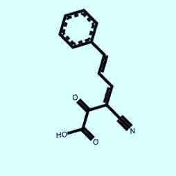 N#CC(=CC=Cc1ccccc1)C(=O)C(=O)O